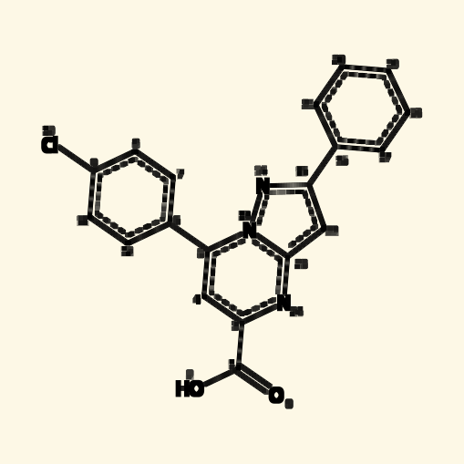 O=C(O)c1cc(-c2ccc(Cl)cc2)n2nc(-c3ccccc3)cc2n1